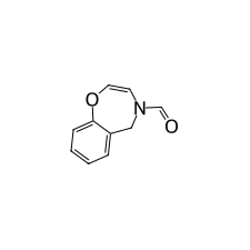 O=CN1C=COc2ccccc2C1